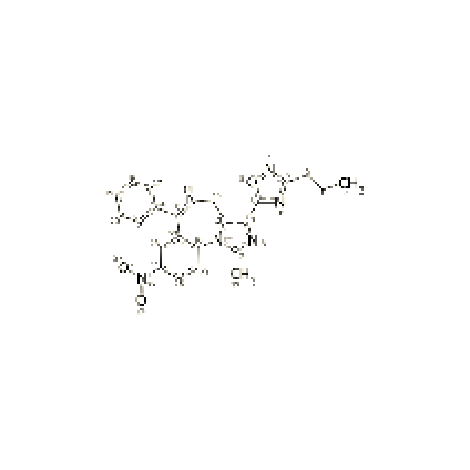 CCCc1noc(-c2nc(C)n3c2CN=C(c2ccccc2)c2cc([N+](=O)[O-])ccc2-3)n1